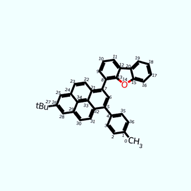 Cc1ccc(-c2cc(-c3cccc4c3oc3ccccc34)c3ccc4cc(C(C)(C)C)cc5ccc2c3c54)cc1